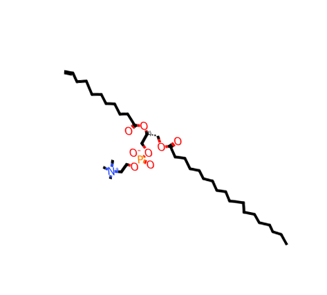 C=CCCCCCCCCC(=O)O[C@H](COC(=O)CCCCCCCCCCCCCCCCC)COP(=O)([O-])OCC[N+](C)(C)C